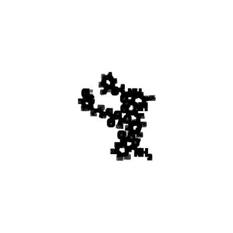 Cc1ccccc1OCC(=O)NC(CC(C)C)C(=O)NC(Cc1ccc(OC(=O)N2CCCCC2C(N)=O)cc1)C(=O)OC(C)OC(=O)CCCC[C@@H]1CC[S+]([O-])S1